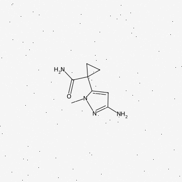 Cn1nc(N)cc1C1(C(N)=O)CC1